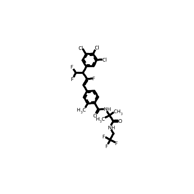 Cc1cc(C=C(F)C(c2cc(Cl)c(Cl)c(Cl)c2)C(F)F)ccc1C(=O)NC(C)(C)C(=O)NCC(F)(F)F